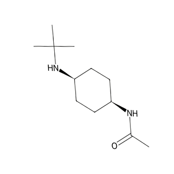 CC(=O)N[C@H]1CC[C@@H](NC(C)(C)C)CC1